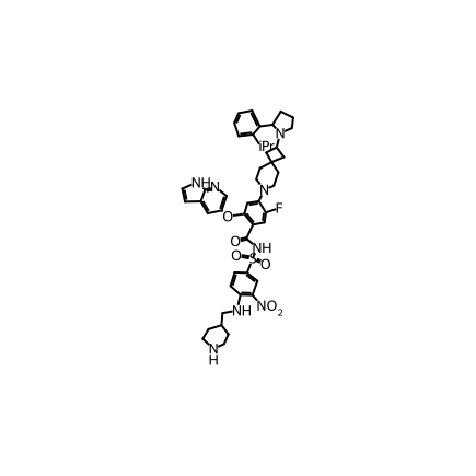 CC(C)c1ccccc1C1CCCN1C1CC2(CCN(c3cc(Oc4cnc5[nH]ccc5c4)c(C(=O)NS(=O)(=O)c4ccc(NCC5CCNCC5)c([N+](=O)[O-])c4)cc3F)CC2)C1